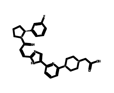 N=C(/C=C\c1ncc(-c2cccc(N3CCN(CC(=O)O)CC3)n2)[nH]1)N1CCC[C@@H]1c1cccc(F)c1